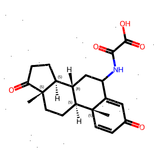 C[C@]12C=CC(=O)C=C1C(NC(=O)C(=O)O)C[C@@H]1[C@@H]2CC[C@]2(C)C(=O)CC[C@@H]12